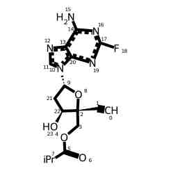 C#C[C@]1(COC(=O)C(C)C)O[C@@H](n2cnc3c(N)nc(F)nc32)C[C@@H]1O